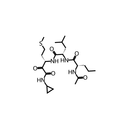 CCC[C@H](NC(C)=O)C(=O)N[C@@H](CC(C)C)C(=O)N[C@@H](CCSC)C(=O)C(=O)NC1CC1